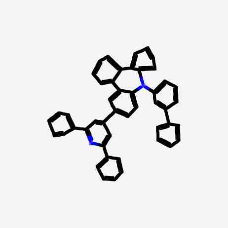 c1ccc(-c2cccc(N3c4ccccc4-c4ccccc4-c4cc(-c5cc(-c6ccccc6)nc(-c6ccccc6)c5)ccc43)c2)cc1